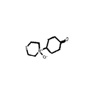 O=C1CCC([N+]2([O-])CCSCC2)CC1